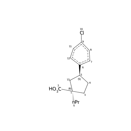 CCC[C@@]1(C(=O)O)CC[C@H](c2ccc(Cl)cc2)C1